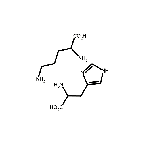 NC(Cc1c[nH]cn1)C(=O)O.NCCCC(N)C(=O)O